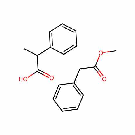 CC(C(=O)O)c1ccccc1.COC(=O)Cc1ccccc1